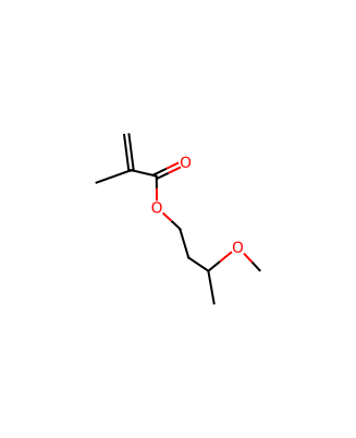 C=C(C)C(=O)OCCC(C)OC